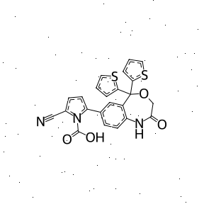 N#Cc1ccc(-c2ccc3c(c2)C(c2cccs2)(c2cccs2)OCC(=O)N3)n1C(=O)O